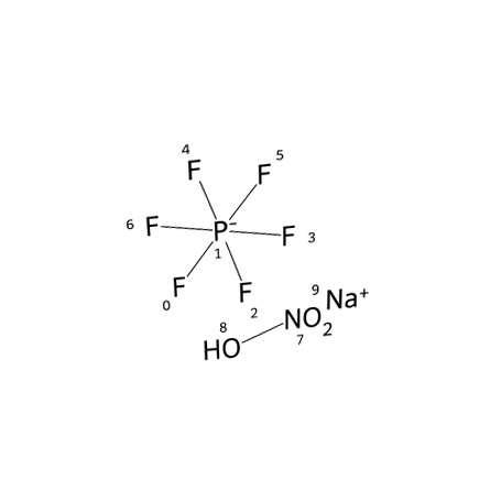 F[P-](F)(F)(F)(F)F.O=[N+]([O-])O.[Na+]